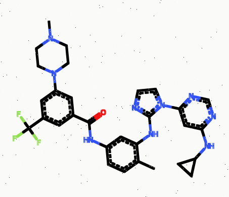 Cc1ccc(NC(=O)c2cc(N3CCN(C)CC3)cc(C(F)(F)F)c2)cc1Nc1nccn1-c1cc(NC2CC2)ncn1